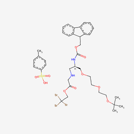 CC(C)(C)OCCOCCOC[C@@H](CNCC(=O)OCC(Br)(Br)Br)NC(=O)OCC1c2ccccc2-c2ccccc21.Cc1ccc(S(=O)(=O)O)cc1